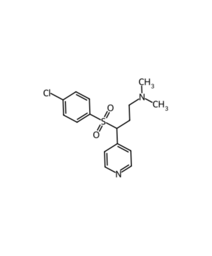 CN(C)CCC(c1ccncc1)S(=O)(=O)c1ccc(Cl)cc1